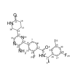 C[C@@H](NC(=O)c1ccc(-c2nc(C3CCC(=O)NC3)cnc2N)cc1F)c1cc(F)cc(I)c1